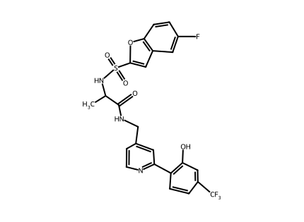 CC(NS(=O)(=O)c1cc2cc(F)ccc2o1)C(=O)NCc1ccnc(-c2ccc(C(F)(F)F)cc2O)c1